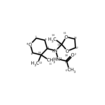 CC(=O)NN(C1CCOCC1(C)C)C1(C)OCCO1